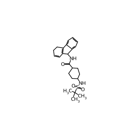 CC(C)(C)S(=O)(=O)NC1CCC(C(=O)NC2C3=C(CCC=C3)c3ccccc32)CC1